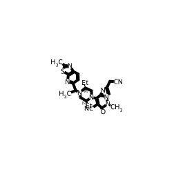 CC[C@H]1CN(C(C)c2ccc3nc(C)sc3n2)[C@H](CC)CN1c1c(C#N)c(=O)n(C)n2cc(CC#N)nc12